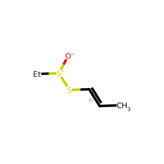 C/C=C/S[S+]([O-])CC